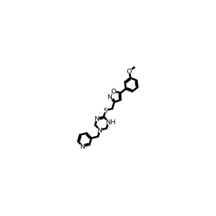 COc1cccc(-c2cc(CSC3=NCN(Cc4cccnc4)CN3)no2)c1